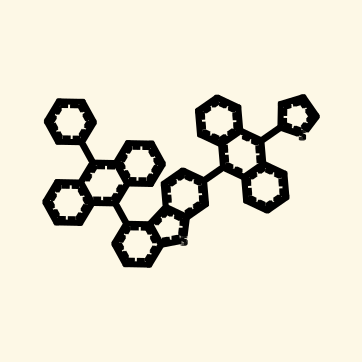 c1ccc(-c2c3ccccc3c(-c3cccc4sc5cc(-c6c7ccccc7c(-c7cccs7)c7ccccc67)ccc5c34)c3ccccc23)cc1